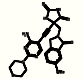 COc1ccc2c(c1)C(=O)N(C[C@@]1(C#Cc3cnc(N4CCSCC4)nc3N)NC(=O)NC1=O)C2